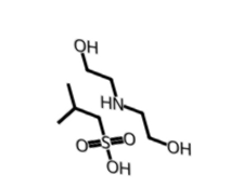 CC(C)CS(=O)(=O)O.OCCNCCO